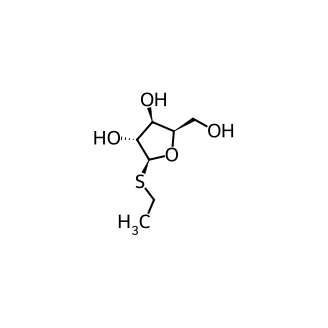 CCS[C@@H]1O[C@H](CO)[C@H](O)[C@H]1O